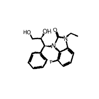 CCn1c(=O)n([C@@H](c2ccccc2)[C@H](O)CO)c2c(F)cccc21